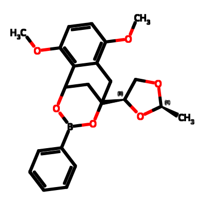 COc1ccc(OC)c2c1CC1([C@H]3CO[C@@H](C)O3)CC2OB(c2ccccc2)O1